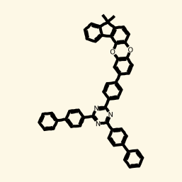 CC1(C)c2ccccc2-c2c1ccc1c2Oc2cc(-c3ccc(-c4nc(-c5ccc(-c6ccccc6)cc5)nc(-c5ccc(-c6ccccc6)cc5)n4)cc3)ccc2O1